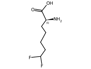 N[C@@H](CCCCC(F)F)C(=O)O